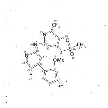 COc1cc(F)ccc1-c1cc(Nc2cc(CS(C)(=O)=O)cc(C(F)(F)F)n2)ncc1F